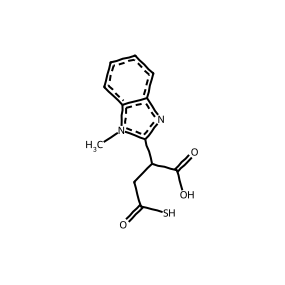 Cn1c(C(CC(=O)S)C(=O)O)nc2ccccc21